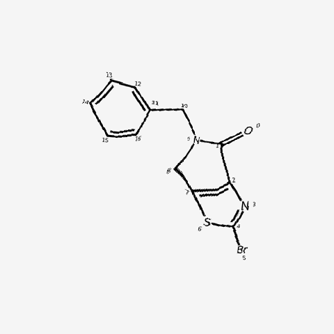 O=C1c2nc(Br)sc2CN1Cc1ccccc1